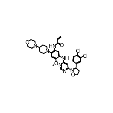 C=CC(=O)Nc1cc(Nc2cc(N3OCCC3c3ccc(Cl)c(Cl)c3)ncn2)c(OC)cc1N1CCC(N2CCOCC2)CC1